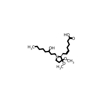 CCCCCC(O)CCN1CCC(OC)(OC)[C@@H]1C/C=C\CCCC(=O)O